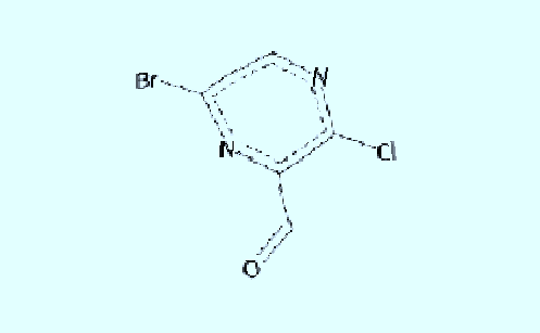 O=Cc1nc(Br)cnc1Cl